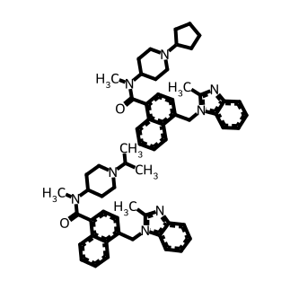 Cc1nc2ccccc2n1Cc1ccc(C(=O)N(C)C2CCN(C(C)C)CC2)c2ccccc12.Cc1nc2ccccc2n1Cc1ccc(C(=O)N(C)C2CCN(C3CCCC3)CC2)c2ccccc12